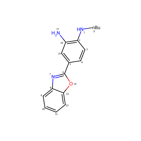 CCCCNc1ccc(-c2nc3ccccc3o2)cc1N